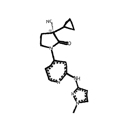 Cn1ccc(Nc2cc(N3CC[C@@](C#N)(C4CC4)C3=O)ccn2)n1